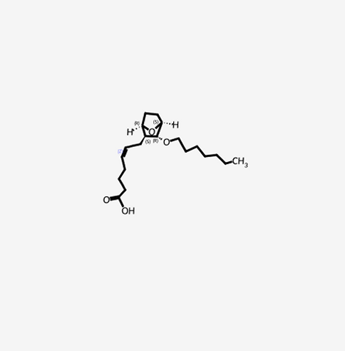 CCCCCCCO[C@@H]1[C@@H](C/C=C\CCCC(=O)O)[C@H]2CC[C@@H]1O2